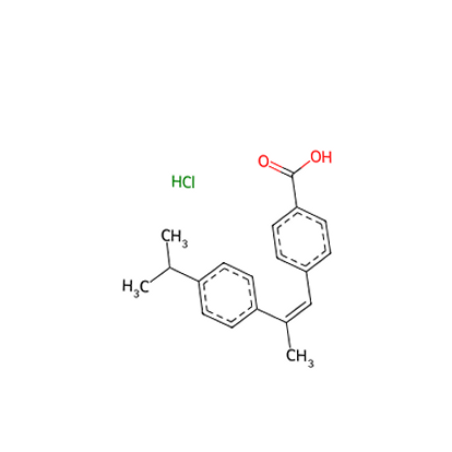 CC(=Cc1ccc(C(=O)O)cc1)c1ccc(C(C)C)cc1.Cl